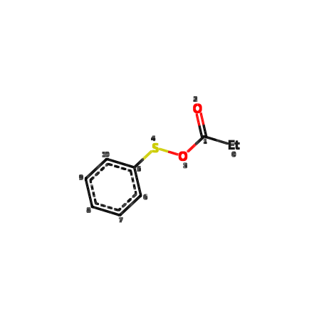 CCC(=O)OSc1ccccc1